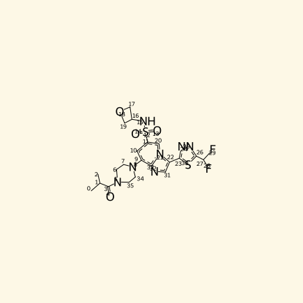 CC(C)C(=O)N1CCN(c2cc(S(=O)(=O)NC3COC3)cn3c(-c4nnc(C(F)F)s4)cnc23)CC1